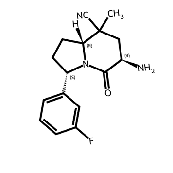 CC1(C#N)C[C@@H](N)C(=O)N2[C@H](c3cccc(F)c3)CC[C@@H]21